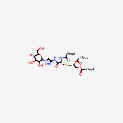 CCCCCCCC(=O)N[C@H](CSC[C@@H](COC(=O)CCCCCCC)OC(=O)CCCCCCC)C(=O)Nc1cn(C2OC(CO)C(O)C(O)C2O)nn1